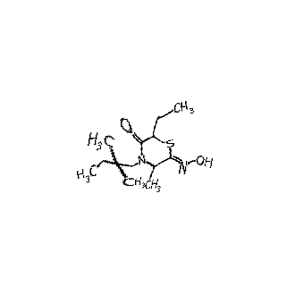 CCC1SC(=NO)C(C)N(C(C)(C)C)C1=O